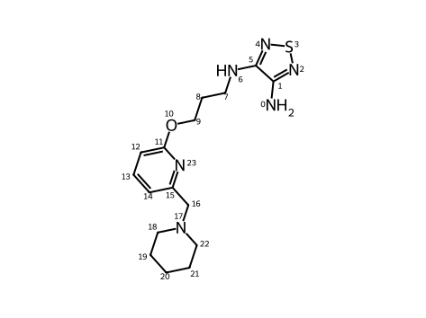 Nc1nsnc1NCCCOc1cccc(CN2CCCCC2)n1